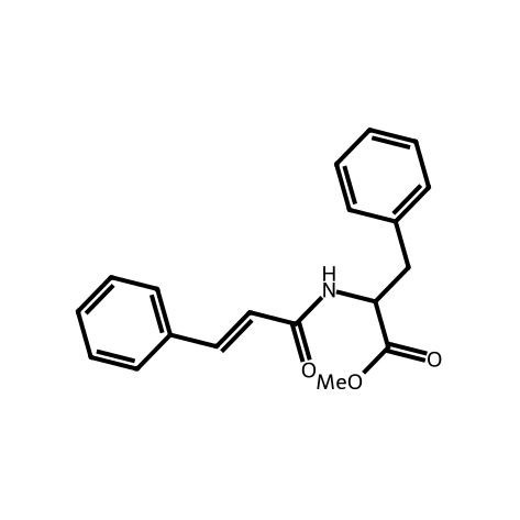 COC(=O)C(Cc1ccccc1)NC(=O)C=Cc1ccccc1